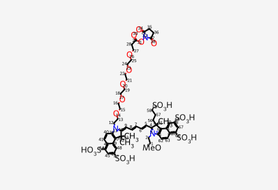 COCC[N+]1=C(/C=C/C=C/C=C2/N(CCOCCOCCOCCOCCOCCC(=O)ON3C(=O)CCC3=O)c3ccc4c(S(=O)(=O)O)cc(S(=O)(=O)O)cc4c3C2(C)C)C(C)(CCCS(=O)(=O)O)c2c1ccc1c(S(=O)(=O)O)cc(S(=O)(=O)O)cc21